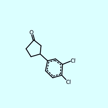 O=C1CCC(c2ccc(Cl)c(Cl)c2)C1